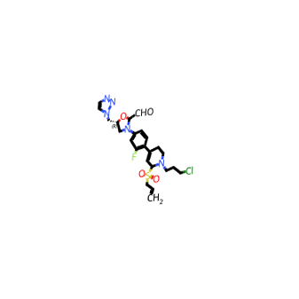 C=CCS(=O)(=O)C1C=C(c2ccc(N3C[C@H](Cn4ccnn4)OC3C=O)cc2F)CCN1CCCCl